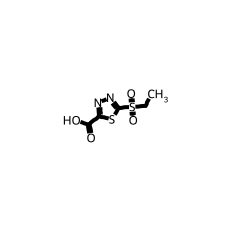 CCS(=O)(=O)c1nnc(C(=O)O)s1